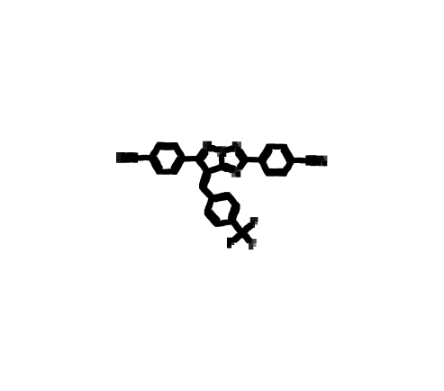 N#Cc1ccc(-c2nc3/c(=C\c4ccc(C(F)(F)F)cc4)c(-c4ccc(C#N)cc4)nn3n2)cc1